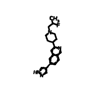 CC(F)CN1CCC(c2cc3cc(-c4cn[nH]c4)ccc3cn2)CC1